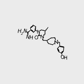 CC1CN(CC2CCN(Cc3ccc(O)cc3)CC2)C(=O)N(c2cccc(C(=N)N)c2)C1